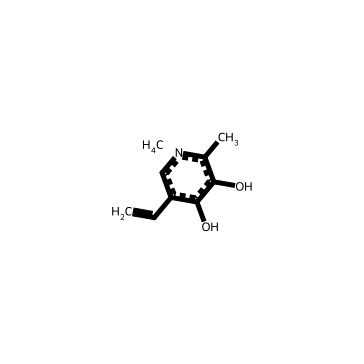 C.C=Cc1cnc(C)c(O)c1O